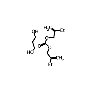 C=C(CC)COC(=O)OCC(=C)CC.OCCCO